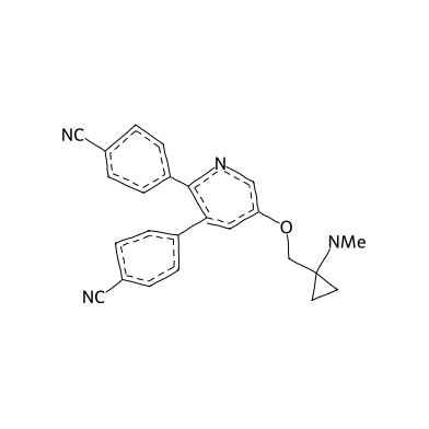 CNC1(COc2cnc(-c3ccc(C#N)cc3)c(-c3ccc(C#N)cc3)c2)CC1